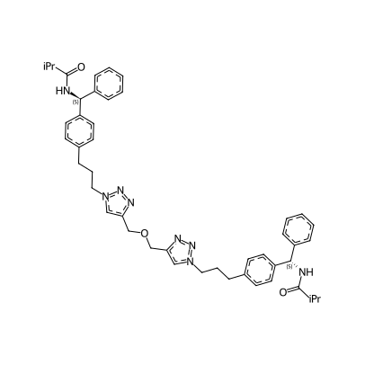 CC(C)C(=O)N[C@@H](c1ccccc1)c1ccc(CCCn2cc(COCc3cn(CCCc4ccc([C@@H](NC(=O)C(C)C)c5ccccc5)cc4)nn3)nn2)cc1